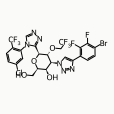 OC[C@H]1O[C@@H](c2nncn2-c2cc(Cl)ccc2C(F)(F)F)[C@H](OCC(F)(F)F)[C@@H](n2cc(-c3ccc(Br)c(F)c3F)nn2)[C@H]1O